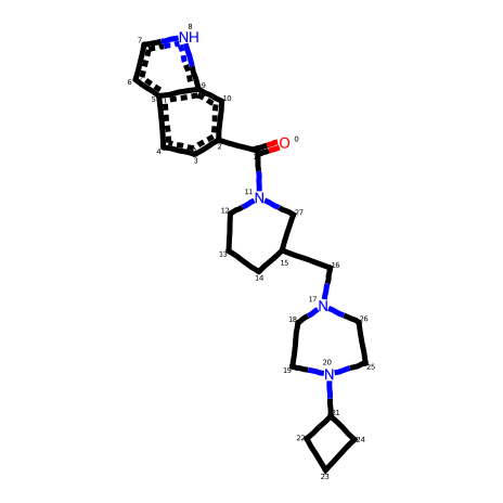 O=C(c1ccc2cc[nH]c2c1)N1CCCC(CN2CCN(C3CCC3)CC2)C1